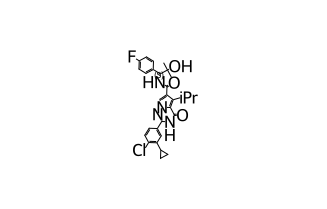 CC(C)c1c(C(=O)N[C@@H](c2ccc(F)cc2)C(C)(C)O)cn2nc(-c3ccc(Cl)c(C4CC4)c3)[nH]c(=O)c12